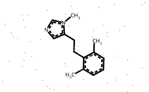 Cc1cccc(C)c1CCc1cncn1C